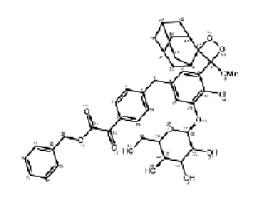 COC1(c2cc(Cc3ccc(C(=O)C(=O)OCc4ccccc4)cc3)cc(O[C@@H]3OC(CO)[C@H](O)C(O)C3O)c2Cl)OOC12C1CC3CC(C1)CC2C3